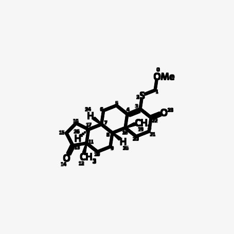 COCSC1=C2CC[C@@H]3[C@@H](CC[C@]4(C)C(=O)CC[C@@H]34)[C@@]2(C)CCC1=O